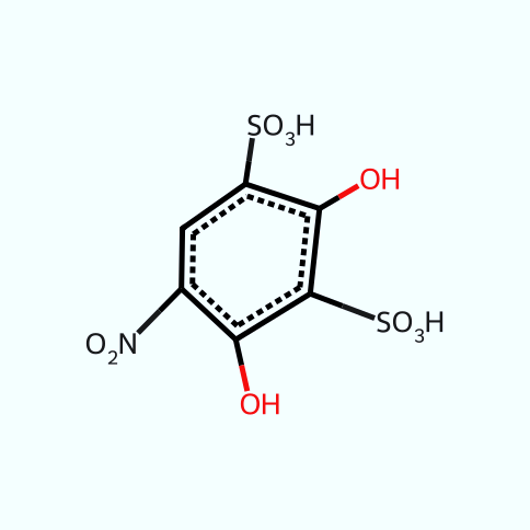 O=[N+]([O-])c1cc(S(=O)(=O)O)c(O)c(S(=O)(=O)O)c1O